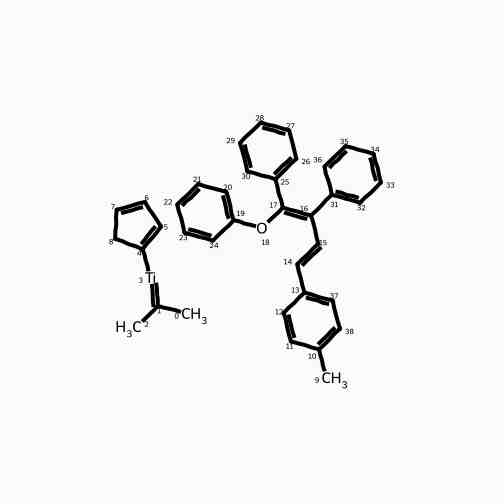 C[C](C)=[Ti][C]1=CC=CC1.Cc1ccc(C=CC(=C(Oc2ccccc2)c2ccccc2)c2ccccc2)cc1